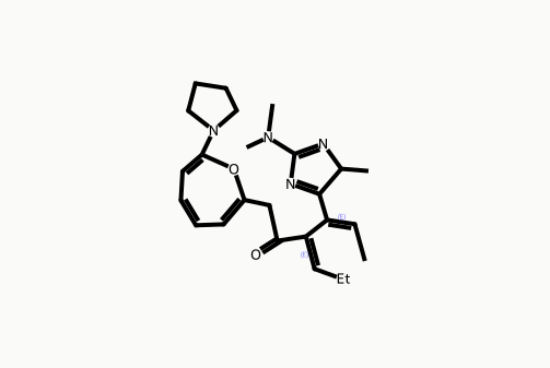 C/C=C(C1=NC(N(C)C)=NC1C)\C(=C/CC)C(=O)CC1=CC=CC=C(N2CCCC2)O1